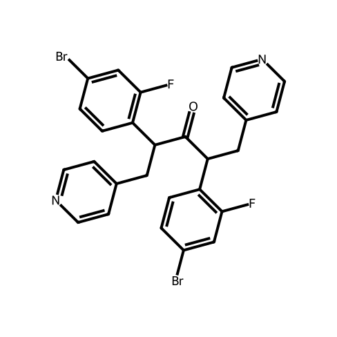 O=C(C(Cc1ccncc1)c1ccc(Br)cc1F)C(Cc1ccncc1)c1ccc(Br)cc1F